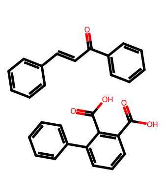 O=C(C=Cc1ccccc1)c1ccccc1.O=C(O)c1cccc(-c2ccccc2)c1C(=O)O